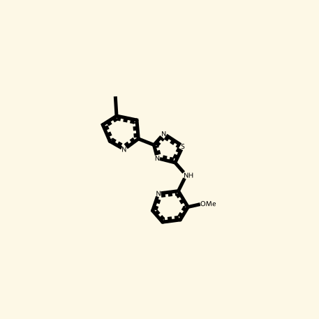 COc1cccnc1Nc1nc(-c2cc(C)ccn2)ns1